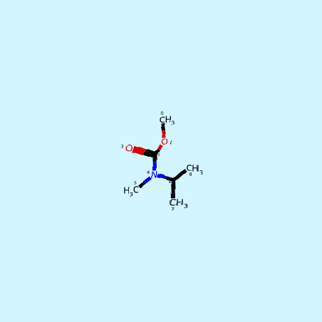 COC(=O)N(C)C(C)C